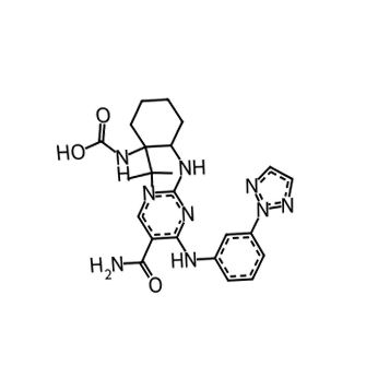 CC(C)(C)C1(NC(=O)O)CCCCC1Nc1ncc(C(N)=O)c(Nc2cccc(-n3nccn3)c2)n1